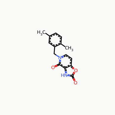 Cc1ccc(C)c(Cn2ccc3oc(=O)[nH]c3c2=O)c1